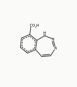 O=C(O)c1cccc2c1NN=NC=C2